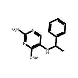 COc1nc([N+](=O)[O-])ncc1NC(C)c1ccccc1